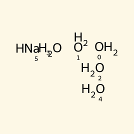 O.O.O.O.O.[NaH]